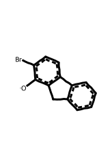 [O]c1c(Br)ccc2c1Cc1ccccc1-2